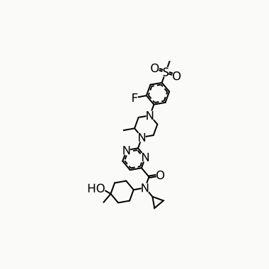 CC1CN(c2ccc(S(C)(=O)=O)cc2F)CCN1c1nccc(C(=O)N(C2CC2)C2CCC(C)(O)CC2)n1